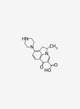 CC1Cc2c(N3CCNCC3)ccc3c(=O)c(C(=O)O)cn1c23